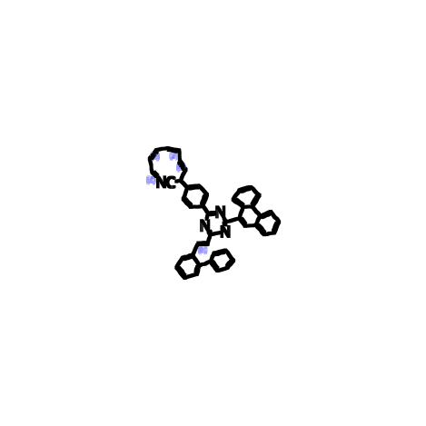 C1=C\C=N/CC(c2ccc(-c3nc(/C=C/c4ccccc4-c4ccccc4)nc(-c4cc5ccccc5c5ccccc45)n3)cc2)\C=C\C=C/1